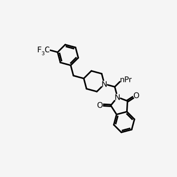 CCCC(N1CCC(Cc2cccc(C(F)(F)F)c2)CC1)N1C(=O)c2ccccc2C1=O